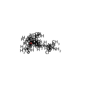 CC[C@H](C)[C@@H]([C@@H](CC(=O)N1CCC[C@H]1C[C@@H](C)C(=O)N[C@H](C)[C@@H](O)c1ccccc1)OC)N(C)C(=O)[C@@H](NC(=O)[C@H](C(C)C)N(C)C(=O)OCc1ccc(NC(=O)[C@H](C)NC(=O)[C@@H](NC(=O)CCOCCNCCNc2ncc(-c3cc(C)cc(F)c3)c(N3CCC(N)CC3)c2-c2nc3ccc(Cl)cc3[nH]2)C(C)C)c(O[C@@H]2O[C@H](C(=O)O)[C@@H](O)[C@H](O)[C@H]2O)c1)C(C)C